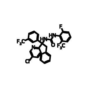 O=C(Nc1c(F)cccc1C(F)(F)F)NC(Cc1ccccc1)(c1cccc(C(F)(F)F)c1)c1ccc(Cl)cn1